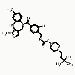 Cc1ccc2c(c1)Nc1c(cnn1C)CN2C(=O)c1ccc(CNC(=O)ON2CCN(CCC(C)(C)C)CC2)c(Cl)c1